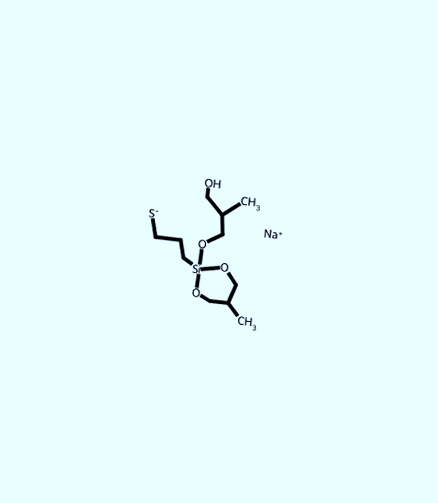 CC(CO)CO[Si]1(CCC[S-])OCC(C)CO1.[Na+]